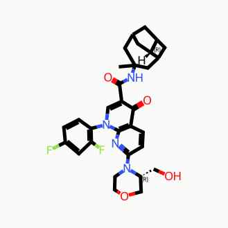 CC1(NC(=O)c2cn(-c3ccc(F)cc3F)c3nc(N4CCOC[C@H]4CO)ccc3c2=O)CC2CC3CC(C1)[C@@H]3C2